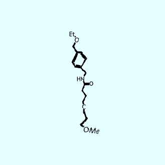 CCOCc1ccc(CNC(=O)CCCCCCCOC)cc1